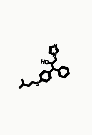 CC(C)CCSc1ccc(C(c2ccccc2)C(O)Cn2ccnc2)cc1